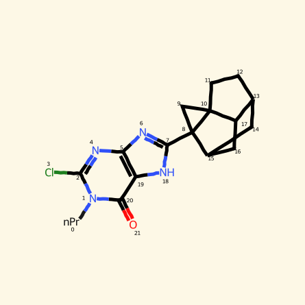 CCCn1c(Cl)nc2nc(C34CC35CCC3CC4CC35)[nH]c2c1=O